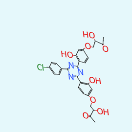 CC(=O)C(O)COc1ccc(-c2nc(-c3ccc(Cl)cc3)nc(-c3ccc(OCC(O)C(C)=O)cc3O)n2)c(O)c1